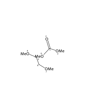 COC(=O)OC.COCCOC